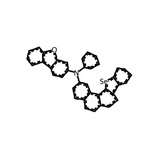 c1ccc(N(c2ccc3c(c2)oc2ccccc23)c2ccc3ccc4ccc5c6ccccc6[se]c5c4c3c2)cc1